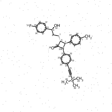 [CH2]c1ccc([C@@H]2[C@@H](CC[C@H](O)c3ccc(F)cc3)C(=O)N2c2ccc(C#C[Si](C)(C)C)cc2)cc1